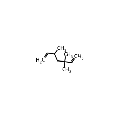 C=CC(C)CC(C)(C)C=C